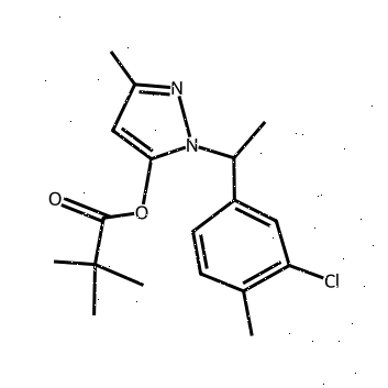 Cc1cc(OC(=O)C(C)(C)C)n(C(C)c2ccc(C)c(Cl)c2)n1